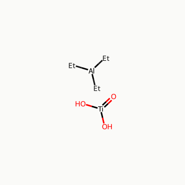 C[CH2][Al]([CH2]C)[CH2]C.[O]=[Ti]([OH])[OH]